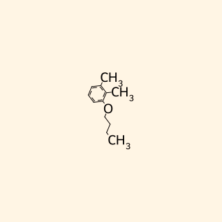 CCCCOc1cccc(C)c1C